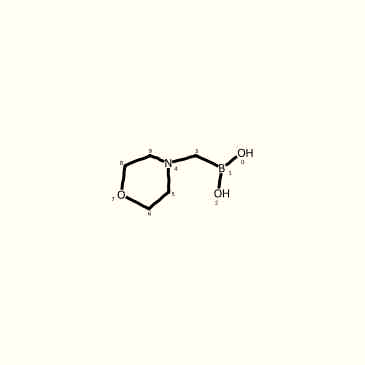 OB(O)CN1CCOCC1